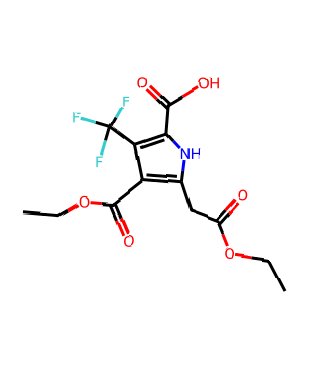 CCOC(=O)Cc1[nH]c(C(=O)O)c(C(F)(F)F)c1C(=O)OCC